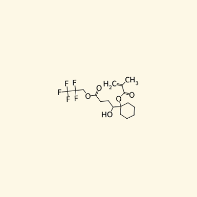 C=C(C)C(=O)OC1(C(O)CCC(=O)OCC(F)(F)C(F)(F)F)CCCCC1